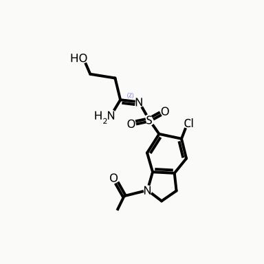 CC(=O)N1CCc2cc(Cl)c(S(=O)(=O)/N=C(\N)CCO)cc21